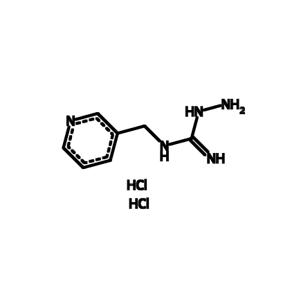 Cl.Cl.N=C(NN)NCc1cccnc1